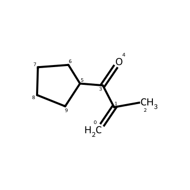 C=C(C)C(=O)C1CCCC1